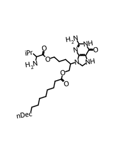 CCCCCCCCCCCCCCCCCC(=O)OCC(CCCOC(=O)C(N)C(C)C)N1CNc2c1nc(N)[nH]c2=O